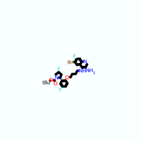 CC(C)(C)OC(=O)N1C[C@@H](F)C[C@@H]1c1cc(F)ccc1OCCCCNc1c(N)cnc2cc(F)c(Br)cc12